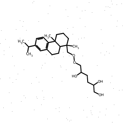 CC(C)c1ccc2c(c1)CCC1C(C)(COOCC(O)CCC(O)CO)CCCC21C